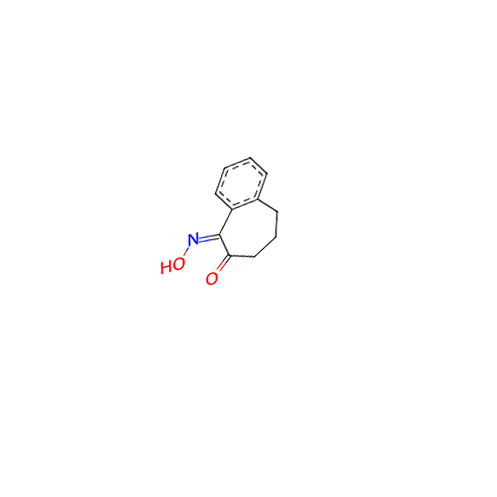 O=C1CCCc2ccccc2/C1=N/O